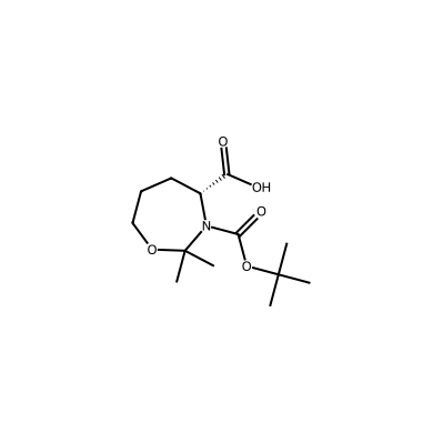 CC(C)(C)OC(=O)N1[C@@H](C(=O)O)CCCOC1(C)C